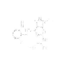 CCC(CO)Nc1nc(NCc2c(N)cccc2Cl)c2nnn(C)c2n1